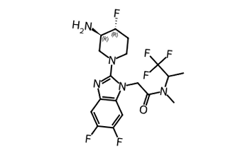 CC(N(C)C(=O)Cn1c(N2CC[C@@H](F)[C@H](N)C2)nc2cc(F)c(F)cc21)C(F)(F)F